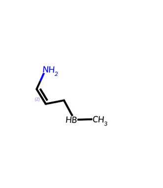 CBC/C=C\N